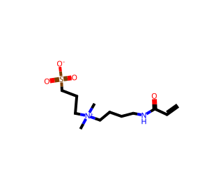 C=CC(=O)NCCCC[N+](C)(C)CCCS(=O)(=O)[O-]